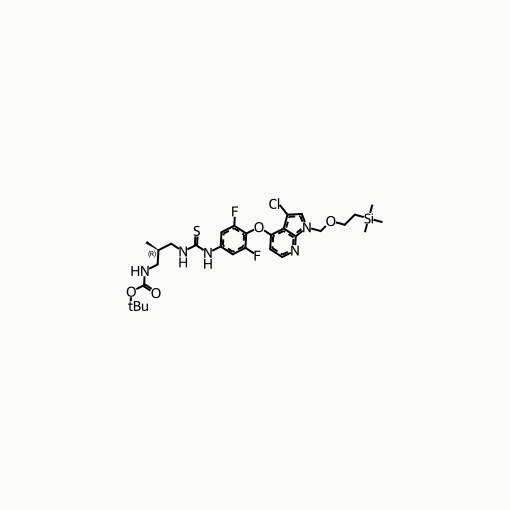 C[C@H](CNC(=O)OC(C)(C)C)CNC(=S)Nc1cc(F)c(Oc2ccnc3c2c(Cl)cn3COCC[Si](C)(C)C)c(F)c1